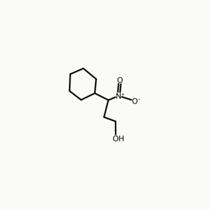 O=[N+]([O-])C(CCO)C1CCCCC1